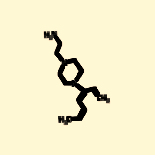 C=C/C(=C\C=C/C)N1CCN(CCN)CC1